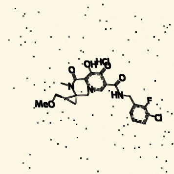 COC[C@@H]1C[C@]12Cn1cc(C(=O)NCc3cccc(Cl)c3F)c(=O)c(O)c1C(=O)N2C.Cl